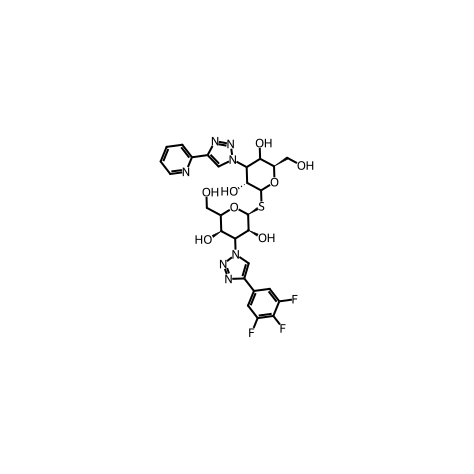 OCC1O[C@@H](SC2O[C@H](CO)C(O)C(n3cc(-c4ccccn4)nn3)[C@H]2O)[C@@H](O)C(n2cc(-c3cc(F)c(F)c(F)c3)nn2)[C@H]1O